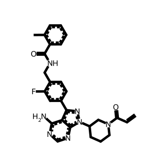 C=CC(=O)N1CCCC(n2nc(-c3ccc(CNC(=O)c4ccccc4C)c(F)c3)c3c(N)ncnc32)C1